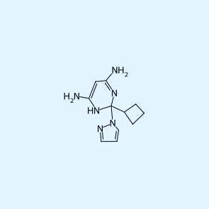 NC1=CC(N)=NC(C2CCC2)(n2cccn2)N1